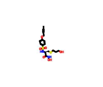 CC#CCOc1ccc(S(=O)(=O)N[C@H](CSCCCO)C(=O)NO)cc1